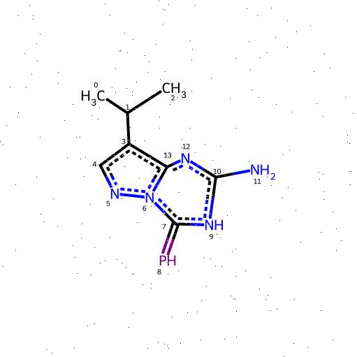 CC(C)c1cnn2c(=P)[nH]c(N)nc12